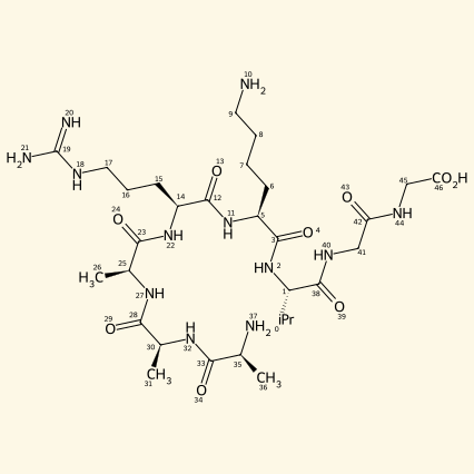 CC(C)[C@H](NC(=O)[C@H](CCCCN)NC(=O)[C@H](CCCNC(=N)N)NC(=O)[C@H](C)NC(=O)[C@H](C)NC(=O)[C@H](C)N)C(=O)NCC(=O)NCC(=O)O